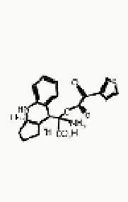 NC(CC(=O)C(=O)c1ccsc1)(C(=O)O)C1c2ccccc2N[C@@H]2CCC[C@H]12